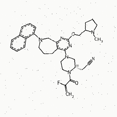 C=C(F)C(=O)N1CCN(c2nc(OCC3CCCN3C)nc3c2CCCN(c2cccc4ccccc24)C3)C[C@@H]1CC#N